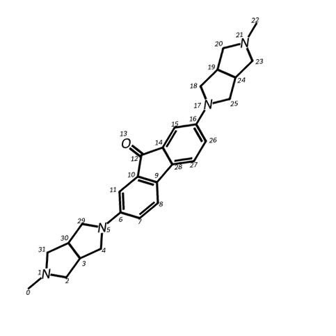 CN1CC2CN(c3ccc4c(c3)C(=O)c3cc(N5CC6CN(C)CC6C5)ccc3-4)CC2C1